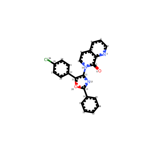 O=c1c2ncccc2ccn1-c1nc(-c2ccccc2)oc1-c1ccc(Cl)cc1